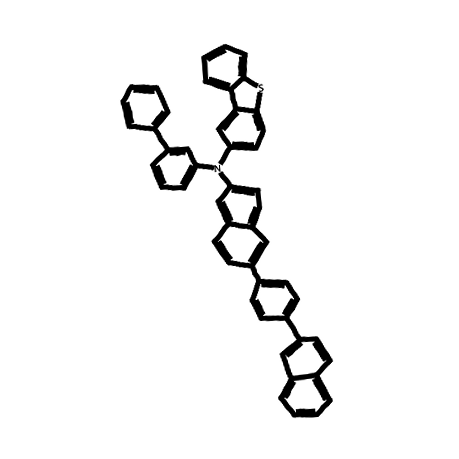 c1ccc(-c2cccc(N(c3ccc4cc(-c5ccc(-c6ccc7ccccc7c6)cc5)ccc4c3)c3ccc4sc5ccccc5c4c3)c2)cc1